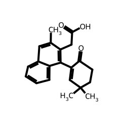 Cc1cc2ccccc2c(C2=CC(C)(C)CCC2=O)c1CC(=O)O